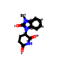 CCn1c(=O)n(C2CCC(=O)NC2=O)c2ccccc21